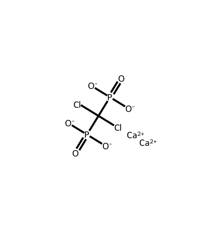 O=P([O-])([O-])C(Cl)(Cl)P(=O)([O-])[O-].[Ca+2].[Ca+2]